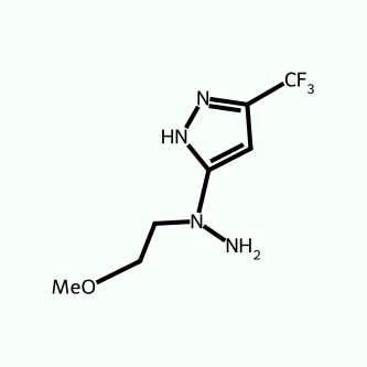 COCCN(N)c1cc(C(F)(F)F)n[nH]1